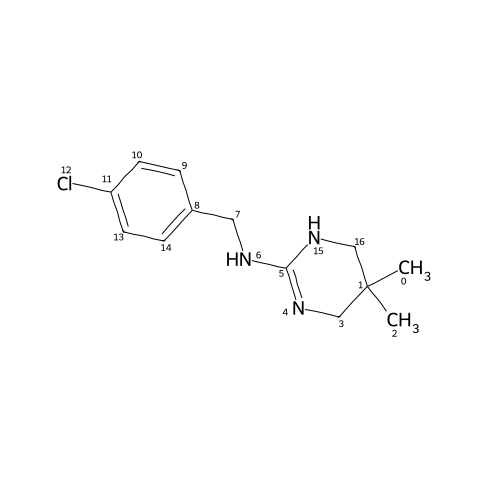 CC1(C)CN=C(NCc2ccc(Cl)cc2)NC1